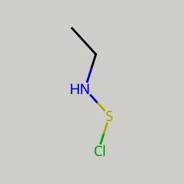 CCNSCl